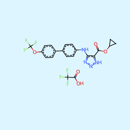 O=C(O)C(F)(F)F.O=C(OC1CC1)c1[nH]nnc1Nc1ccc(-c2ccc(OC(F)(F)F)cc2)cc1